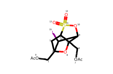 CC(=O)OCC12CC3C(COC(C)=O)(O1)C(OS3(=O)=O)C2I